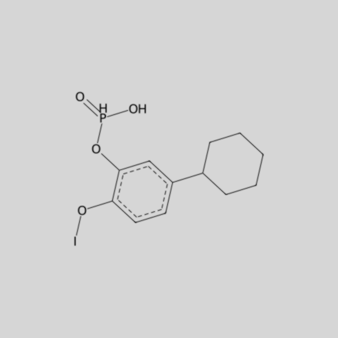 O=[PH](O)Oc1cc(C2CCCCC2)ccc1OI